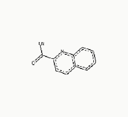 N#CC(=O)c1ccc2ccccc2n1